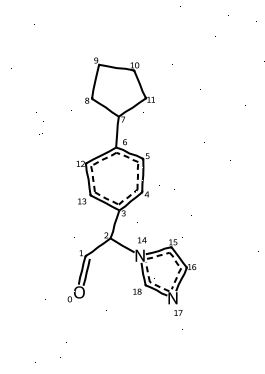 O=CC(c1ccc(C2CCCC2)cc1)n1ccnc1